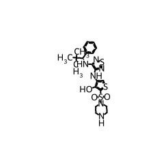 CC(C)(C)[C@@H](Nc1nsnc1Nc1csc(S(=O)(=O)N2CCNCC2)c1O)c1ccccc1